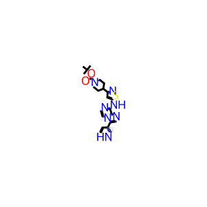 C=C/C(=C\NC)c1cnc2c(Nc3cc(C4CCN(C(=O)OC(C)(C)C)CC4)ns3)nccn12